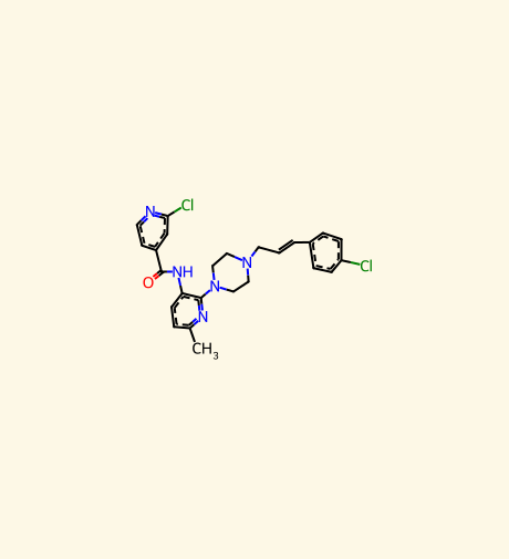 Cc1ccc(NC(=O)c2ccnc(Cl)c2)c(N2CCN(CC=Cc3ccc(Cl)cc3)CC2)n1